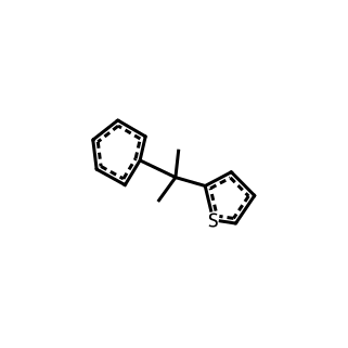 CC(C)(c1ccccc1)c1cccs1